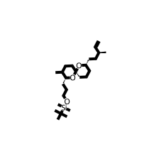 C=C[C@@H](C)CC[C@@H]1CCC[C@]2(CCC(C)[C@@H](CCCO[Si](C)(C)C(C)(C)C)O2)O1